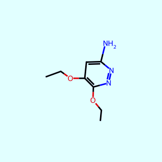 CCOc1cc(N)nnc1OCC